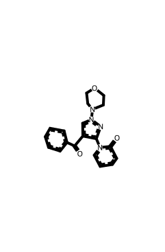 O=C(c1ccccc1)c1cn(N2CCOCC2)nc1-n1ccccc1=O